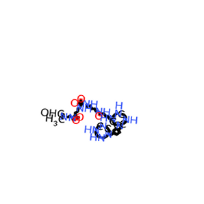 CN(CC=O)CCN1COC(=O)C1CCCNc1c(NCCCCCNC(=O)CCCCN2CCCN(Cc3ccc(CN4CCCNCCNCCCNCC4)cc3)CCNCCCNCC2)c(=O)c1=O